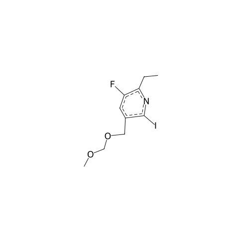 CCc1nc(I)c(COCOC)cc1F